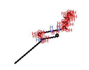 CC#CC#CC#CC#CC#CC#CC#CC#CC#CC#CC#CC#CC(=O)N[C@@H](COC1OC(COCCCCCCNC(=O)CCCC(=O)NCCOC2OC(CO)C(OC3OC(C(=O)O)C(O)C(OC4OC(CO)C(OC5OC(C(=O)O)C(O)C(O)C5O)C(O)C4O)C3O)C(O)C2O)C(O)C(O)C1O)[C@H](O)[C@H](O)CCCCCCCCCc1ccccc1